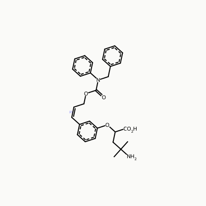 CC(C)(N)CC(Oc1cccc(/C=C\COC(=O)N(Cc2ccccc2)c2ccccc2)c1)C(=O)O